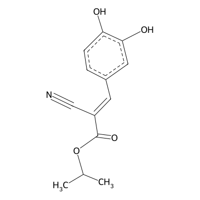 CC(C)OC(=O)/C(C#N)=C/c1ccc(O)c(O)c1